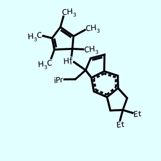 CCC1(CC)Cc2cc3c(cc2C1)[C](CC(C)C)([Hf][C]1(C)C(C)=C(C)C(C)=C1C)C=C3